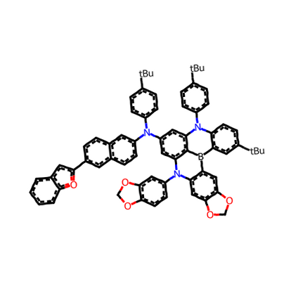 CC(C)(C)c1ccc(N(c2cc3c4c(c2)N(c2ccc5c(c2)OCO5)c2cc5c(cc2B4c2cc(C(C)(C)C)ccc2N3c2ccc(C(C)(C)C)cc2)OCO5)c2ccc3cc(-c4cc5ccccc5o4)ccc3c2)cc1